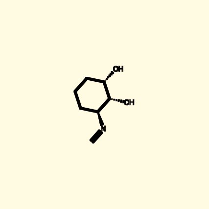 C=N[C@H]1CCC[C@H](O)[C@@H]1O